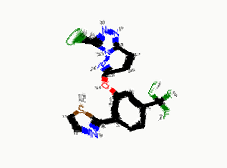 FC(F)(F)c1ccc(-c2nccs2)c(Oc2ccc3nnc(Cl)n3n2)c1